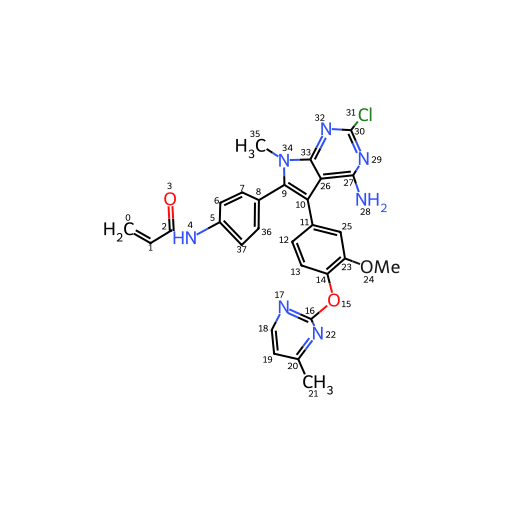 C=CC(=O)Nc1ccc(-c2c(-c3ccc(Oc4nccc(C)n4)c(OC)c3)c3c(N)nc(Cl)nc3n2C)cc1